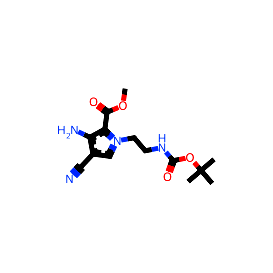 COC(=O)c1c(N)c(C#N)cn1CCNC(=O)OC(C)(C)C